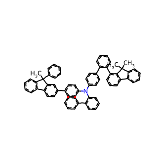 CC1(C)c2ccccc2-c2cccc(-c3ccccc3-c3ccc(N(c4ccc(-c5ccc6c(c5)C(C)(c5ccccc5)c5ccccc5-6)cc4)c4ccccc4-c4ccccc4)cc3)c21